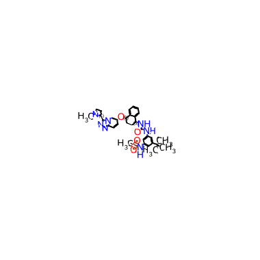 CN1CC[C@H]1c1nnc2ccc(O[C@@H]3CC[C@H](NC(=O)Nc4cc(NS(C)(=O)=O)cc(C(C)(C)C)c4)c4ccccc43)cn12